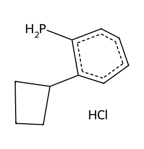 Cl.Pc1ccccc1C1CCC1